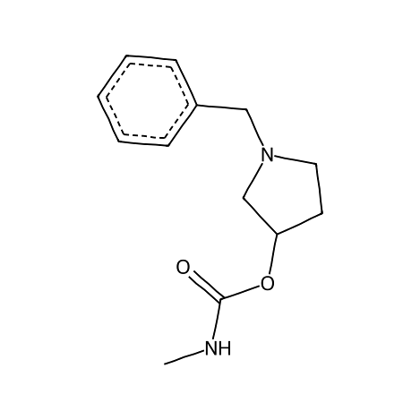 CNC(=O)OC1CCN(Cc2ccccc2)C1